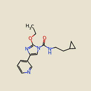 CCOc1nc(-c2cccnc2)cn1C(=O)NCCC1CC1